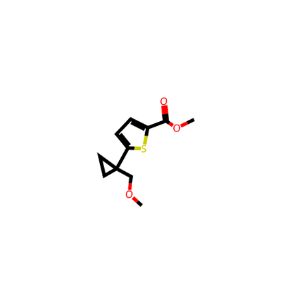 COCC1(c2ccc(C(=O)OC)s2)CC1